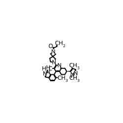 C=CC(=O)N1CC2(CCN(c3nc4c(c(-c5c(C)ccc6cn[nH]c56)c3C)CC[C@H](c3c(C)cnn3C)C4)C2)C1